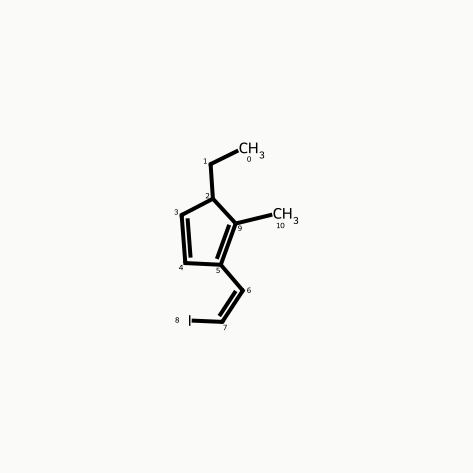 CCC1C=CC(/C=C\I)=C1C